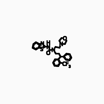 O=C(Nc1nc2ccccc2s1)N(CCC(c1ccccc1)c1ccccc1C(F)(F)F)CCN1CCOCC1